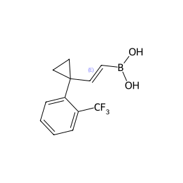 OB(O)/C=C/C1(c2ccccc2C(F)(F)F)CC1